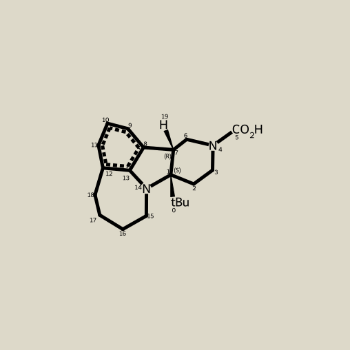 CC(C)(C)[C@]12CCN(C(=O)O)C[C@H]1c1cccc3c1N2CCCC3